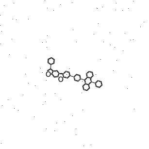 c1ccc(-c2coc3cc4oc5cc(-c6ccc(-c7c8ccccc8c(-c8ccccc8)c8ccccc78)cc6)ccc5c4cc23)cc1